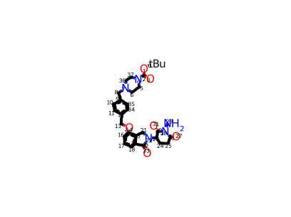 CC(C)(C)OC(=O)N1CCN(Cc2ccc(COc3cccc4c3CN(C3CCC(=O)N(N)C3=O)C4=O)cc2)CC1